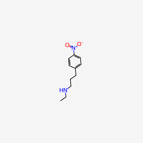 CCNCCCc1ccc([N+](=O)[O-])cc1